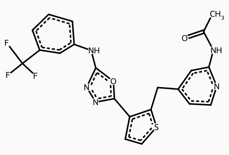 CC(=O)Nc1cc(Cc2sccc2-c2nnc(Nc3cccc(C(F)(F)F)c3)o2)ccn1